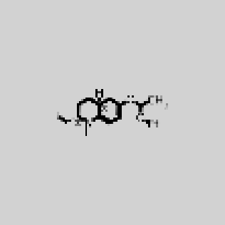 CCOC(C)OC1=CC=C2N[C@H](CI)CC[C@@H]2C1